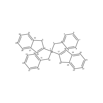 [CH]1C([Si](Cc2ccccc2)(Cc2ccccc2)C2=Cc3ccccc3[CH]2)=Cc2ccccc21